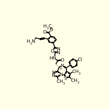 COC(=O)c1ccc(-c2nnc(NC(=O)C[C@@H]3N=C(c4ccc(Cl)cc4)c4c(sc(C)c4C)-n4c(C)nnc43)o2)cc1C#CCN